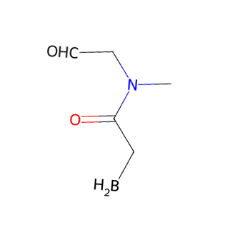 BCC(=O)N(C)CC=O